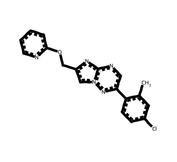 Cc1cc(Cl)ccc1-c1cnc2nc(COc3ccccn3)cn2n1